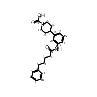 O=C(CCCCc1ccccc1)Nc1cccc(C2CCN(C(=O)O)CC2)c1